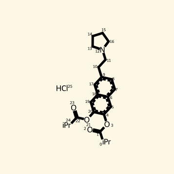 CC(C)C(=O)Oc1cc2ccc(CCN3CCCC3)cc2cc1OC(=O)C(C)C.Cl